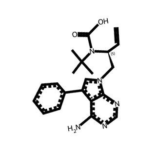 C=C[C@@H](Cn1cc(-c2ccccc2)c2c(N)ncnc21)N(C(=O)O)C(C)(C)C